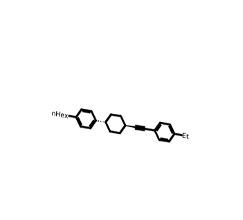 CCCCCCc1ccc([C@H]2CC[C@H](C#Cc3ccc(CC)cc3)CC2)cc1